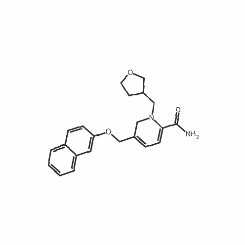 NC(=O)C1=CC=C(COc2ccc3ccccc3c2)CN1CC1CCOC1